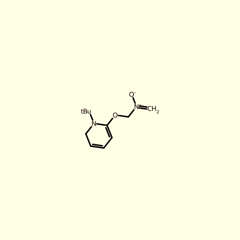 C=[N+]([O-])COC1=CC=CCN1C(C)(C)C